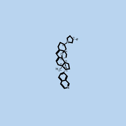 C[C@]12CC=C3C=C4CC[C@@H](N5CC[C@H](F)C5)C[C@]45CC[C@]3(O5)[C@@H]1CC[C@@H]2c1ccc2ccncc2c1